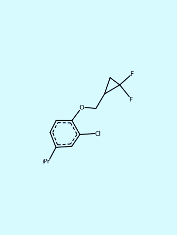 CC(C)c1ccc(OCC2CC2(F)F)c(Cl)c1